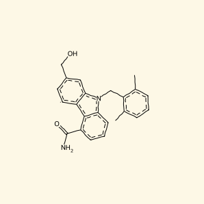 Cc1cccc(C)c1Cn1c2cc(CO)c[c]c2c2c(C(N)=O)cccc21